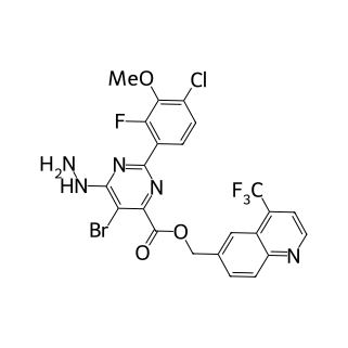 COc1c(Cl)ccc(-c2nc(NN)c(Br)c(C(=O)OCc3ccc4nccc(C(F)(F)F)c4c3)n2)c1F